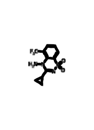 NN1C(C2CC2)=NS(=O)(=O)c2cccc(C(F)(F)F)c21